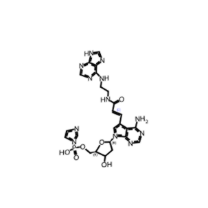 Nc1ncnc2c1c(/C=C/C(=O)NCCNc1ncnc3[nH]cnc13)cn2[C@H]1CC(O)[C@@H](COP(=O)(O)n2ccnc2)O1